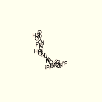 CC(C)Oc1cc2nn(C3CCN(C(=O)CC4(O)CCN(c5ncc(C6CCC(=O)NC6=O)cc5F)CC4)CC3)cc2cc1C(=O)Nc1cccn([C@H]2C[C@H]2F)c1=O